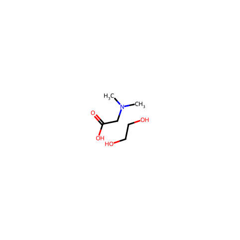 CN(C)CC(=O)O.OCCO